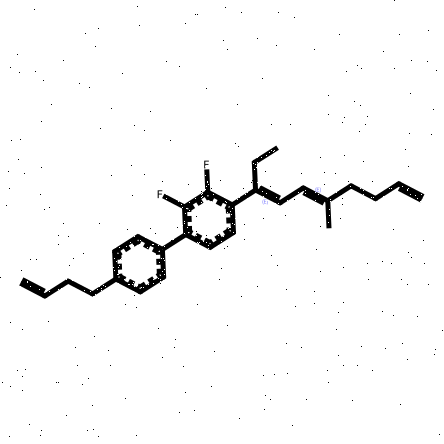 C=CCC/C(C)=C/C=C(\CC)c1ccc(-c2ccc(CCC=C)cc2)c(F)c1F